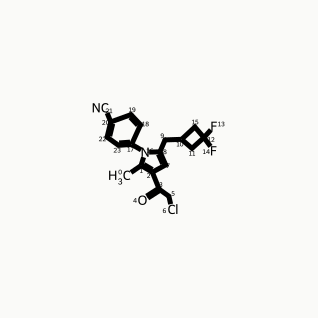 Cc1c(C(=O)CCl)cc(CC2CC(F)(F)C2)n1-c1ccc(C#N)cc1